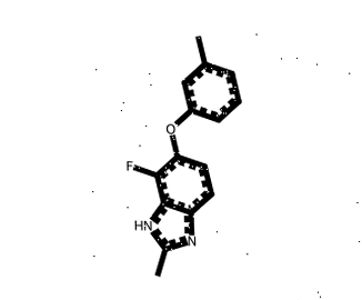 Cc1cccc(Oc2ccc3nc(C)[nH]c3c2F)c1